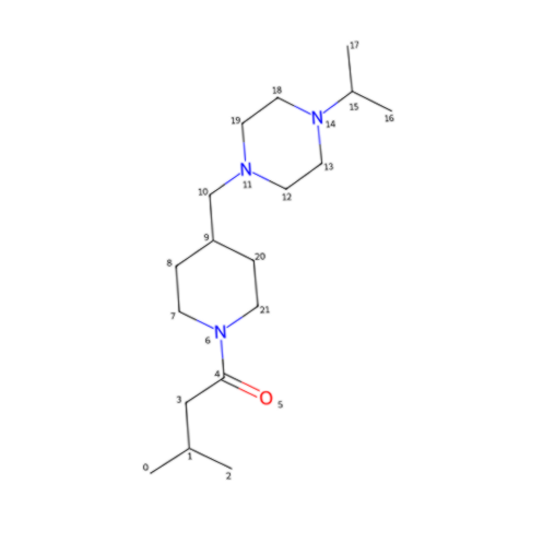 CC(C)CC(=O)N1CCC(CN2CCN(C(C)C)CC2)CC1